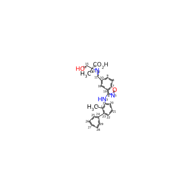 Cc1c(Nc2noc3ccc(C=NC(C)(CO)C(=O)O)cc23)cccc1-c1ccccc1